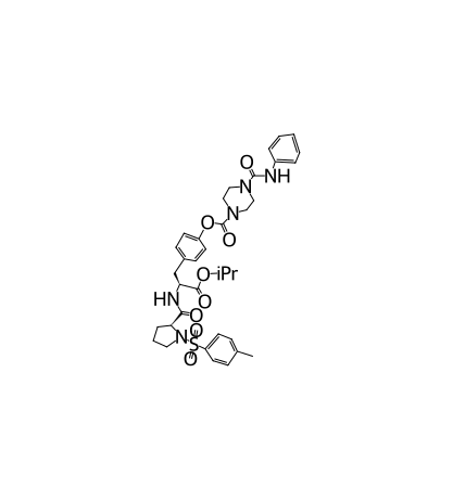 Cc1ccc(S(=O)(=O)N2CCC[C@H]2C(=O)N[C@@H](Cc2ccc(OC(=O)N3CCN(C(=O)Nc4ccccc4)CC3)cc2)C(=O)OC(C)C)cc1